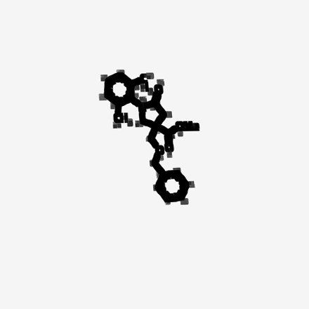 COC(=O)C1(COCc2ccccc2)CC(=O)N(c2c(C)cccc2C)C1